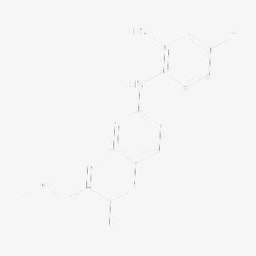 CCOC(=O)C(C)Oc1ccc(Nc2ccc(F)cc2N)cc1